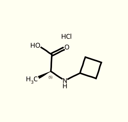 C[C@H](NC1CCC1)C(=O)O.Cl